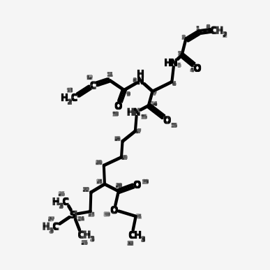 C=C=CC(=O)NCC(NC(=O)C=C=C)C(=O)NCCCCC(CC[Si](C)(C)C)C(=O)OCC